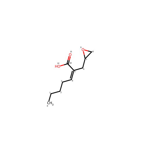 CCCCC=C(CC1CO1)C(=O)O